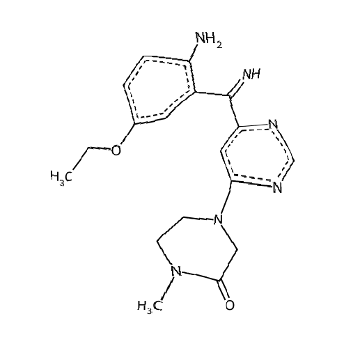 CCOc1ccc(N)c(C(=N)c2cc(N3CCN(C)C(=O)C3)ncn2)c1